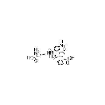 CC(=O)Nc1ccc(C=O)cc1.NC1CCCCC1.NCCCC[C@H](N)C(=O)O.O=C(O)Cc1ccccc1